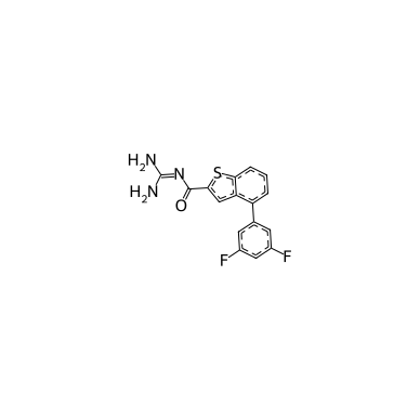 NC(N)=NC(=O)c1cc2c(-c3cc(F)cc(F)c3)cccc2s1